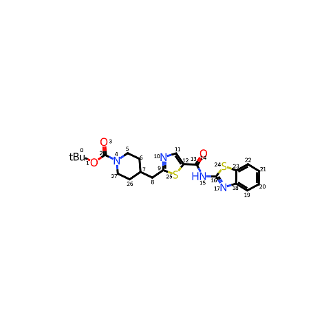 CC(C)(C)OC(=O)N1CCC(Cc2ncc(C(=O)Nc3nc4ccccc4s3)s2)CC1